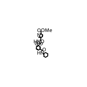 COC(=O)c1ccc(C(=O)NS(=O)(=O)c2cccc(C(=O)NC3CCCCC3)c2)cn1